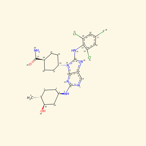 C[C@@H]1CC[C@@H](Nc2ncc3nc(Nc4c(Cl)cc(F)cc4Cl)n([C@H]4CC[C@H](C(N)=O)CC4)c3n2)C[C@H]1O